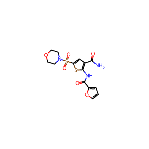 NC(=O)c1cc(S(=O)(=O)N2CCOCC2)sc1NC(=O)c1ccco1